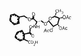 CC(=O)O[C@H]1[C@H](OC(C)=O)[C@@H](OC[C@H](NOC(=O)c2ccccc2C(=O)O)C(=O)OCc2ccccc2)O[C@@H](C)[C@H]1OC(C)=O